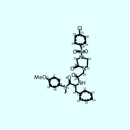 COc1ccc(N(C)C(=O)C(Cc2ccccc2)NC(=O)CN2CCN(S(=O)(=O)c3ccc(Cl)cc3)CC2=O)cc1